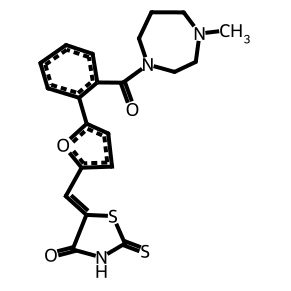 CN1CCCN(C(=O)c2ccccc2-c2ccc(/C=C3\SC(=S)NC3=O)o2)CC1